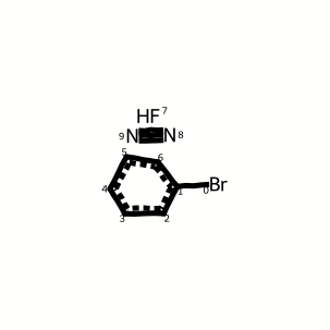 Brc1ccccc1.F.N#N